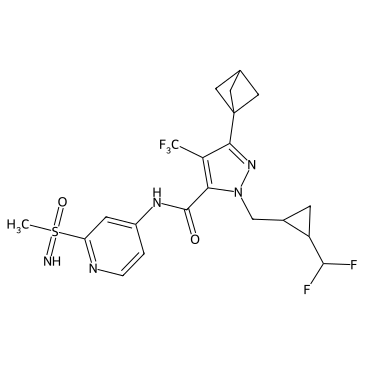 CS(=N)(=O)c1cc(NC(=O)c2c(C(F)(F)F)c(C34CC(C3)C4)nn2CC2CC2C(F)F)ccn1